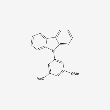 COc1cc(OC)cc(-n2c3ccccc3c3ccccc32)c1